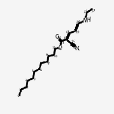 CCCCCCCCCCCCOC(=O)C(C#N)=CC=CNCC